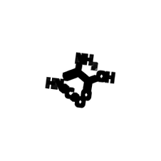 C=C(N)C(=O)O.N=C=O